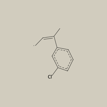 [CH2]/C=C(/C)c1cccc(Cl)c1